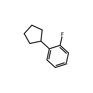 Fc1c[c]ccc1C1CCCC1